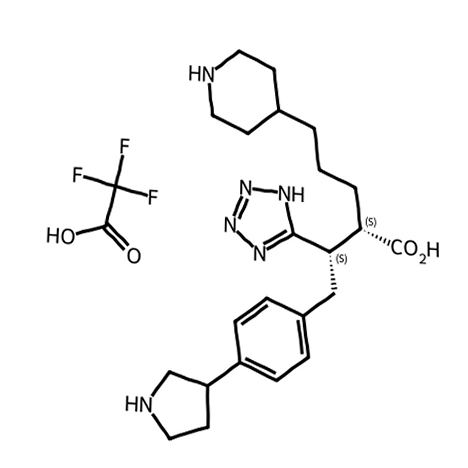 O=C(O)C(F)(F)F.O=C(O)[C@@H](CCCC1CCNCC1)[C@H](Cc1ccc(C2CCNC2)cc1)c1nnn[nH]1